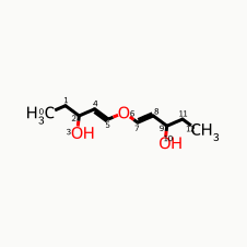 CCC(O)C=COC=CC(O)CC